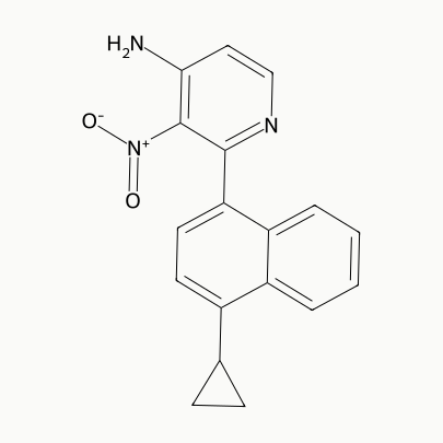 Nc1ccnc(-c2ccc(C3CC3)c3ccccc23)c1[N+](=O)[O-]